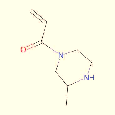 C=CC(=O)N1CCNC(C)C1